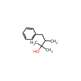 [CH2]C(Cc1ccccc1)C(C)(C)O